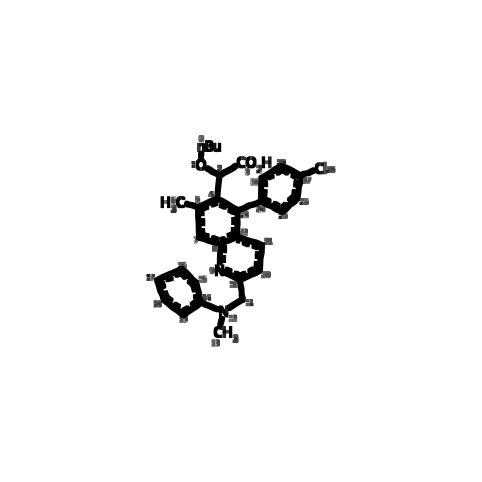 CCCCOC(C(=O)O)c1c(C)cc2nc(CN(C)c3ccccc3)ccc2c1-c1ccc(Cl)cc1